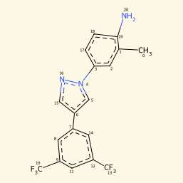 Cc1cc(-n2cc(-c3cc(C(F)(F)F)cc(C(F)(F)F)c3)cn2)ccc1N